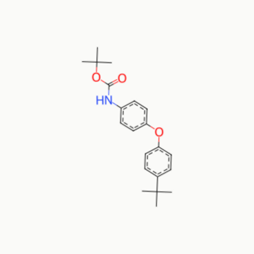 CC(C)(C)OC(=O)Nc1ccc(Oc2ccc(C(C)(C)C)cc2)cc1